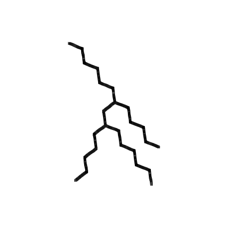 CCCCCCC(CCCCC)CC(CCCCC)CCCCCC